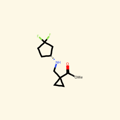 COC(=O)C1(CN[C@@H]2CCC(F)(F)C2)CC1